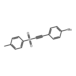 Cc1ccc(S(=O)(=O)C#Cc2ccc(C(C)(C)C)cc2)cc1